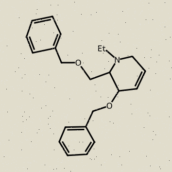 CCN1CC=CC(OCc2ccccc2)C1COCc1ccccc1